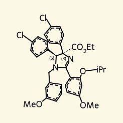 CCOC(=O)[C@]1(c2ccc(Cl)cc2)N=C(c2ccc(OC)cc2OC(C)C)N(Cc2cccc(OC)c2)[C@H]1c1ccc(Cl)cc1